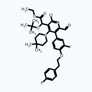 CCOC(=O)C(OC(C)(C)C)c1c(Cl)nc(C=O)c(-c2ccc(OCCc3ccc(F)cc3)c(F)c2)c1N1CCC(C)(C)CC1